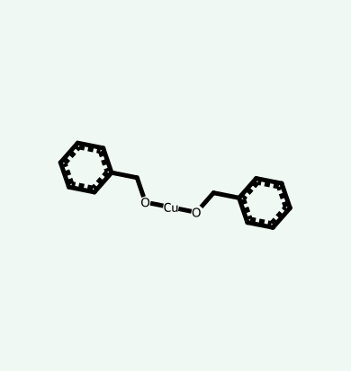 c1ccc(C[O][Cu][O]Cc2ccccc2)cc1